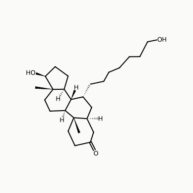 C[C@]12CCC(=O)C[C@@H]1C[C@@H](CCCCCCCO)[C@@H]1[C@@H]2CC[C@]2(C)[C@@H](O)CC[C@@H]12